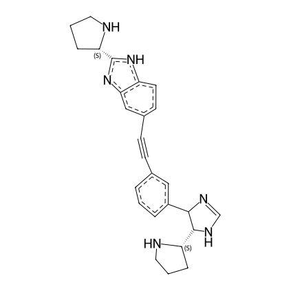 C(#Cc1ccc2[nH]c([C@@H]3CCCN3)nc2c1)c1cccc(C2N=CNC2[C@@H]2CCCN2)c1